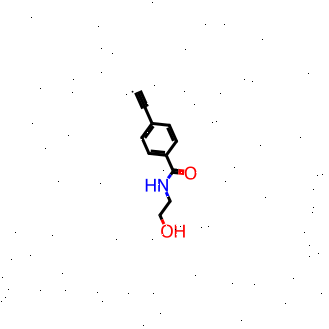 [C]#Cc1ccc(C(=O)NCCO)cc1